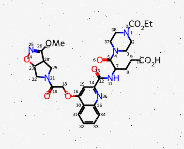 CCOC(=O)N1CCN(C(=O)C(CCC(=O)O)NC(=O)c2cc(OCC(=O)N3CC4ON=C(OC)C4C3)c3ccccc3n2)CC1